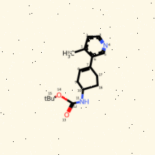 Cc1ccncc1C1=CCC(NC(=O)OC(C)(C)C)CC1